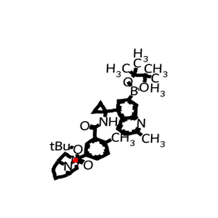 Cc1ccc2c(C3(NC(=O)c4cc(N5CC6CCC(C5)N6C(=O)OC(C)(C)C)ccc4C)CC3)cc(B3OC(C)(C)C(C)(C)O3)cc2n1